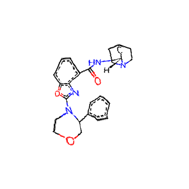 O=C(N[C@@H]1CC2CCN1CC2)c1cccc2oc(N3CCOCC3c3ccccc3)nc12